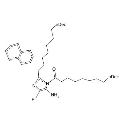 CCCCCCCCCCCCCCCCCC(=O)n1c(CCCCCCCCCCCCCCCCC)nc(CC)c1N.c1ccc2ncccc2c1